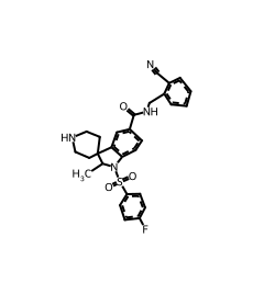 CC1N(S(=O)(=O)c2ccc(F)cc2)c2ccc(C(=O)NCc3ccccc3C#N)cc2C12CCNCC2